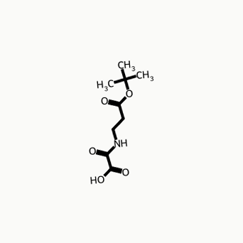 CC(C)(C)OC(=O)CCNC(=O)C(=O)O